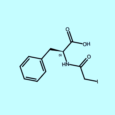 O=C(CI)N[C@@H](Cc1ccccc1)C(=O)O